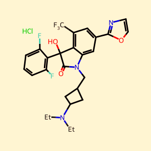 CCN(CC)C1CC(CN2C(=O)C(O)(c3c(F)cccc3F)c3c2cc(-c2ncco2)cc3C(F)(F)F)C1.Cl